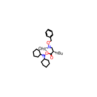 CCCC[C@H](CN(C=O)OCc1ccccc1)C(=O)ON(C1CCCCC1)C1CCCCC1